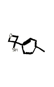 Cc1ccc(C2(S)COC2)cc1